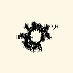 C[C@H](O)[C@@H]1NC(=O)[C@H]2C#Cc3cn(nn3)CCC[C@@H](C(=O)N[C@H](Cc3ccc(O)cc3)C(=O)N(C)CC(=O)O)NC(=O)[C@H](CCC(N)=O)NC(=O)C(Cc3c[nH]c4ccccc34)NC(=O)[C@H](CCCNC(N)=O)NC(=O)[C@@H](CSSCC(NC(=O)CN)C(=O)N2)NC(=O)[C@@H](CCCNC(=N)N)NC(=O)[C@@H]2CCCN2C(=O)[C@@H](CC(=O)O)NC1=O